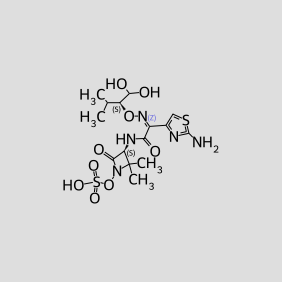 CC(C)[C@H](O/N=C(\C(=O)N[C@@H]1C(=O)N(OS(=O)(=O)O)C1(C)C)c1csc(N)n1)C(O)O